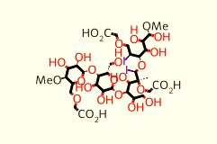 CO[C@@H]1C(COCC(=O)O)O[C@@H](O[C@H]2C(O)C(O)[C@H](O[C@H](C(O)CO)C(O)[C@](C)(OCC(=O)O)[C@@H](I)O[C@@H](C(O)C(O)[C@@H](O)OC)[C@@H](I)COCC(=O)O)O[C@H]2CO)[C@@H](O)C1O